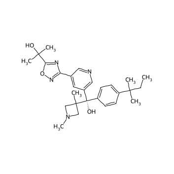 CCC(C)(C)c1ccc([C@](O)(c2cncc(-c3noc(C(C)(C)O)n3)c2)C2(C)CN(C)C2)cc1